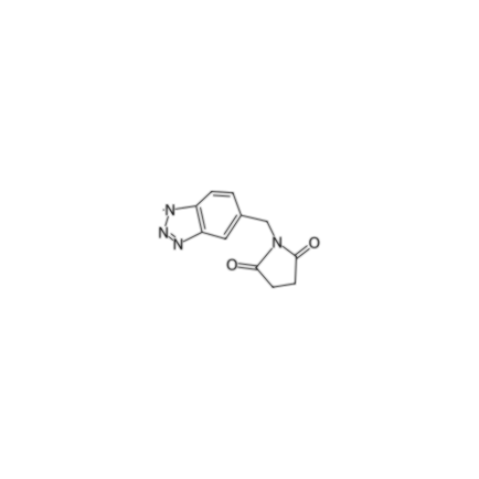 O=C1CCC(=O)N1Cc1ccc2c(c1)N=N[N]2